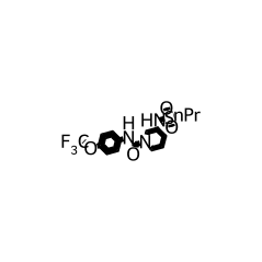 CCCS(=O)(=O)N[C@@H]1CCCN(C(=O)Nc2ccc(OC(F)(F)F)cc2)C1